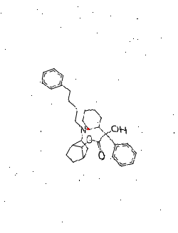 CN(CCCCc1ccccc1)C1CC2CCC1C2OC(=O)C(O)(c1ccccc1)C1CCCCC1